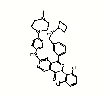 CN1CCN(c2ccc(Nc3ncc4c(=O)n(-c5c(Cl)cccc5Cl)nc(-c5cccc(CNC6CCC6)c5)c4n3)cc2)CC1